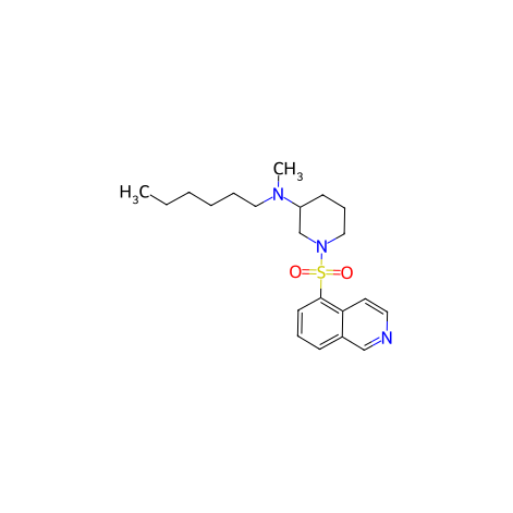 CCCCCCN(C)C1CCCN(S(=O)(=O)c2cccc3cnccc23)C1